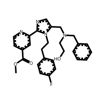 COC(=O)c1ccnc(-c2ncc(CN(CCO)Cc3ccccc3)n2CCc2ccc(F)cc2)c1